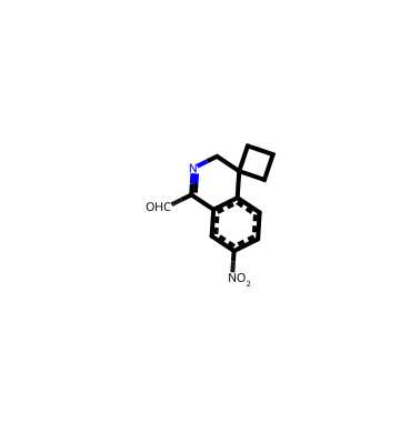 O=CC1=NCC2(CCC2)c2ccc([N+](=O)[O-])cc21